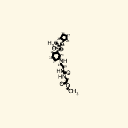 CCOC(=O)CNC(=O)NCCNc1cccc(S(=O)(=O)N(C)OC2CCCC2)c1